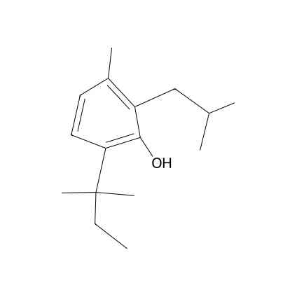 CCC(C)(C)c1ccc(C)c(CC(C)C)c1O